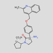 Cc1cc(COc2ccc([C@@]3(N)CCN(C4CCC[C@@H]4C(=O)O)C3=O)cc2)c2ccccc2n1